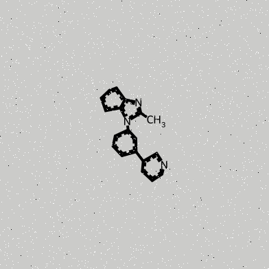 Cc1nc2ccccc2n1-c1cccc(-c2cccnc2)c1